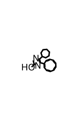 Oc1cnc(C2CCCCCC2)c(-c2ccccccccc2)n1